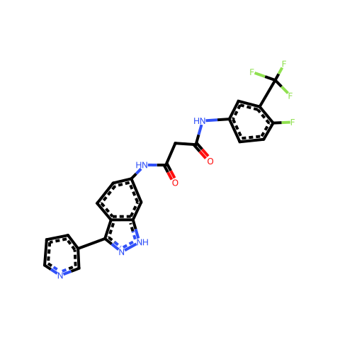 O=C(CC(=O)Nc1ccc2c(-c3cccnc3)n[nH]c2c1)Nc1ccc(F)c(C(F)(F)F)c1